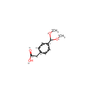 COC(OC)c1ccc(CC(=O)O)cc1